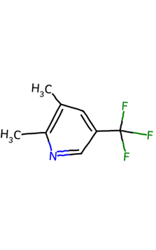 Cc1cc(C(F)(F)F)cnc1C